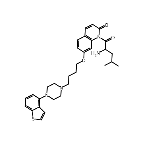 CC(C)CC(N)C(=O)n1c(=O)ccc2ccc(OCCCCN3CCN(c4cccc5sccc45)CC3)cc21